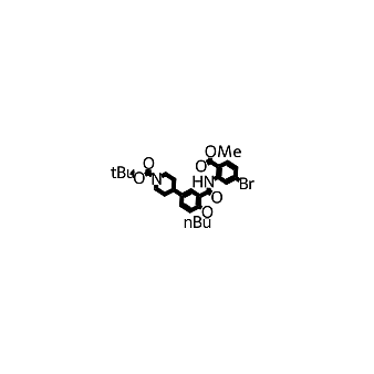 CCCCOc1ccc(C2CCN(C(=O)OC(C)(C)C)CC2)cc1C(=O)Nc1cc(Br)ccc1C(=O)OC